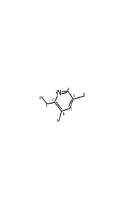 [CH2]Cc1ncc(C)cc1C